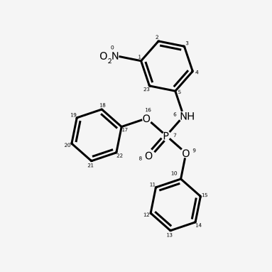 O=[N+]([O-])c1cccc(NP(=O)(Oc2ccccc2)Oc2ccccc2)c1